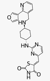 O=C1NC(=O)C(=Cc2ccnc(N[C@H]3CC[C@H](NCc4cccnc4-c4ccoc4)CC3)n2)S1